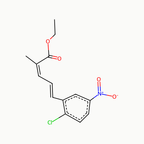 CCOC(=O)C(C)=CC=Cc1cc([N+](=O)[O-])ccc1Cl